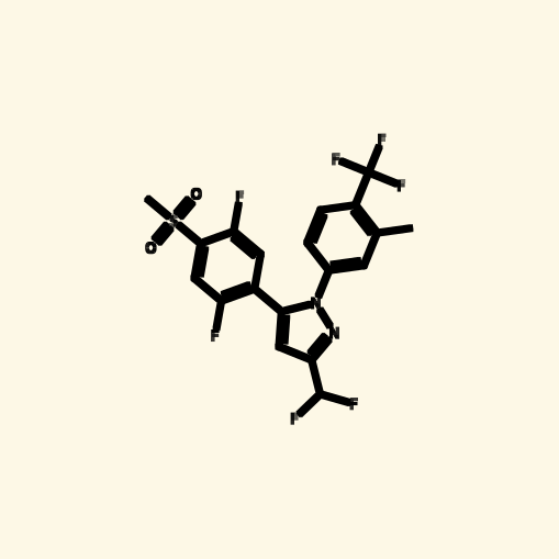 Cc1cc(-n2nc(C(F)F)cc2-c2cc(F)c(S(C)(=O)=O)cc2F)ccc1C(F)(F)F